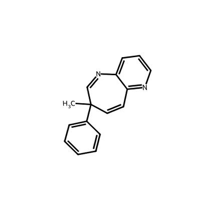 CC1(c2ccccc2)C=Cc2ncccc2N=C1